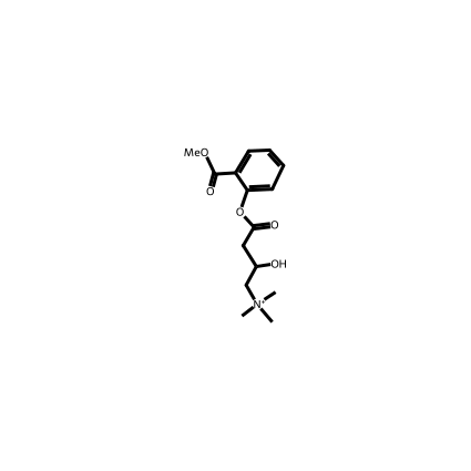 COC(=O)c1ccccc1OC(=O)CC(O)C[N+](C)(C)C